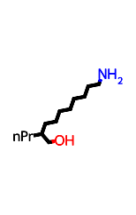 CCCC(CO)CCCCCCCCN